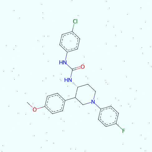 COc1ccc(C2CN(c3ccc(F)cc3)CC[C@H]2NC(=O)Nc2ccc(Cl)cc2)cc1